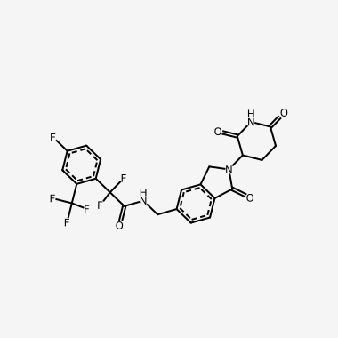 O=C1CCC(N2Cc3cc(CNC(=O)C(F)(F)c4ccc(F)cc4C(F)(F)F)ccc3C2=O)C(=O)N1